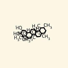 C[C@H]1[C@H](C)CC[C@]2(C)CC[C@]3(C)C(=CC[C@@H]4[C@@]5(C)C[C@@H](O)[C@H](O)C(C)(C)[C@@H]5CC[C@]43C)[C@H]12